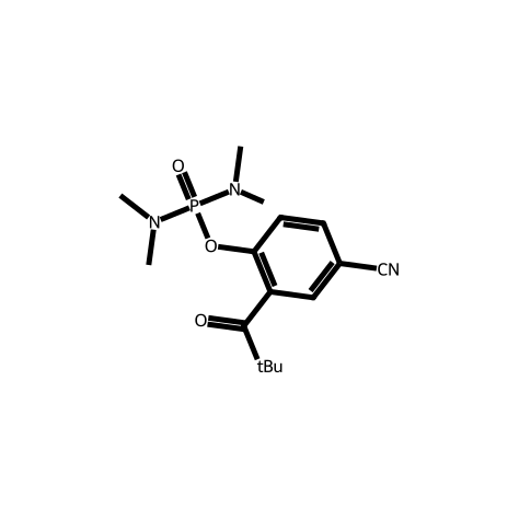 CN(C)P(=O)(Oc1ccc(C#N)cc1C(=O)C(C)(C)C)N(C)C